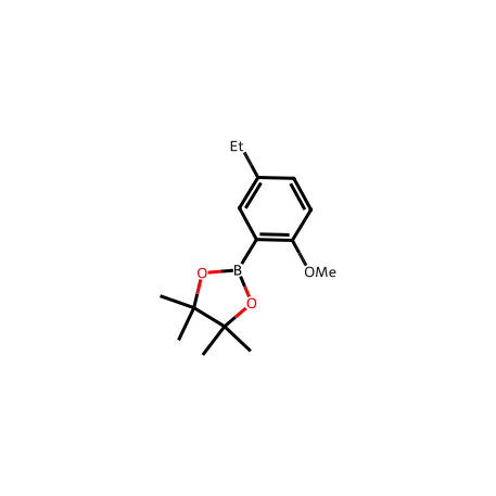 CCc1ccc(OC)c(B2OC(C)(C)C(C)(C)O2)c1